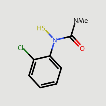 CNC(=O)N(S)c1ccccc1Cl